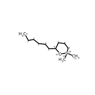 CCCCCCC1CCC[Si](C)(C)O1